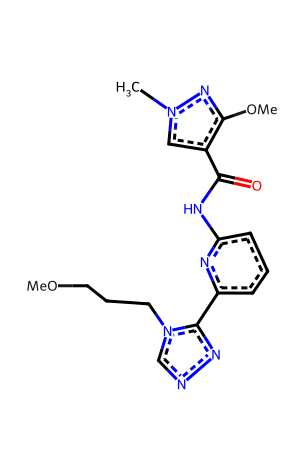 COCCCn1cnnc1-c1cccc(NC(=O)c2cn(C)nc2OC)n1